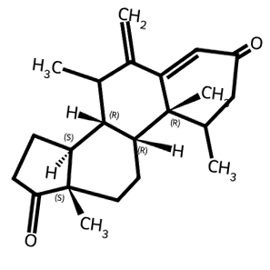 C=C1C2=CC(=O)CC(C)[C@]2(C)[C@@H]2CC[C@]3(C)C(=O)CC[C@H]3[C@@H]2C1C